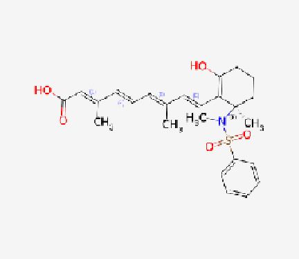 CC(/C=C/C1=C(O)CCC[C@@]1(C)N(C)S(=O)(=O)c1ccccc1)=C\C=C\C(C)=C\C(=O)O